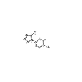 Clc1ccc(-n2nnnc2Cl)cc1